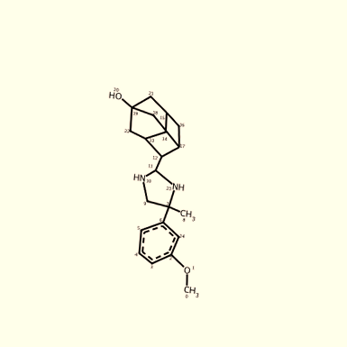 COc1cccc(C2(C)CNC(C3C4CC5CC3CC(O)(C5)C4)N2)c1